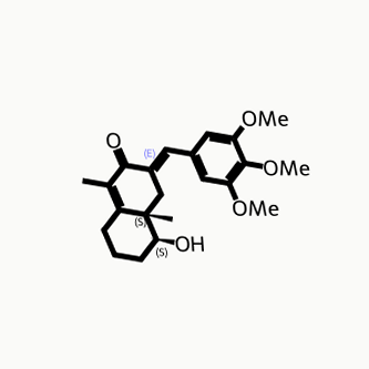 COc1cc(/C=C2\C[C@@]3(C)C(=C(C)C2=O)CCC[C@@H]3O)cc(OC)c1OC